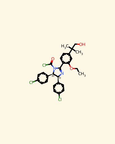 CCOc1cc(C(C)(C)CO)ccc1C1=N[C@@H](c2ccc(Cl)cc2)[C@@H](c2ccc(Cl)cc2)N1C(=O)Cl